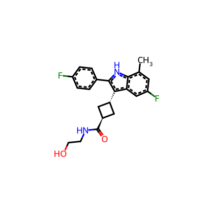 Cc1cc(F)cc2c1[nH]c(-c1ccc(F)cc1)c2[C@H]1C[C@H](C(=O)NCCO)C1